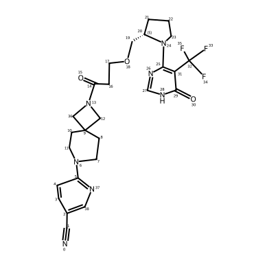 N#Cc1ccc(N2CCC3(CC2)CN(C(=O)CCOC[C@@H]2CCCN2c2nc[nH]c(=O)c2C(F)(F)F)C3)nc1